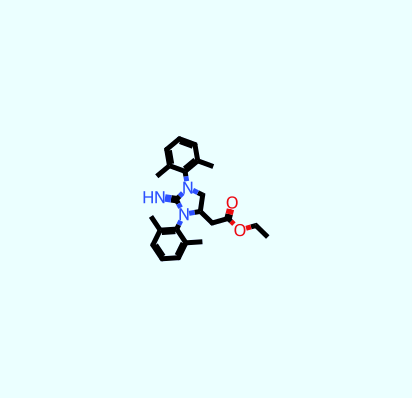 CCOC(=O)CC1CN(c2c(C)cccc2C)C(=N)N1c1c(C)cccc1C